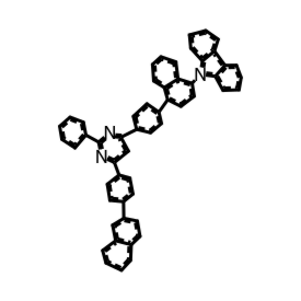 c1ccc(-c2nc(-c3ccc(-c4ccc5ccccc5c4)cc3)cc(-c3ccc(-c4ccc(-n5c6ccccc6c6ccccc65)c5ccccc45)cc3)n2)cc1